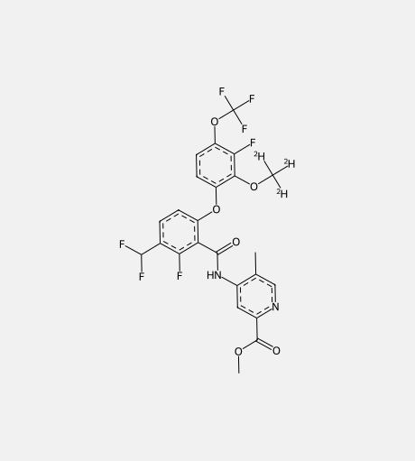 [2H]C([2H])([2H])Oc1c(Oc2ccc(C(F)F)c(F)c2C(=O)Nc2cc(C(=O)OC)ncc2C)ccc(OC(F)(F)F)c1F